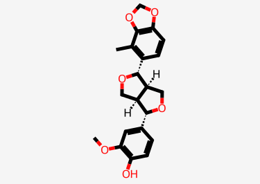 COc1cc([C@H]2OC[C@H]3[C@@H]2CO[C@@H]3c2ccc3c(c2C)OCO3)ccc1O